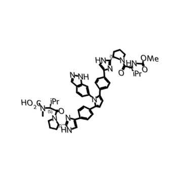 COC(=O)N[C@H](C(=O)N1CCC[C@H]1c1nc(-c2ccc(-c3ccc(-c4ccc(-c5c[nH]c([C@@H]6CCCN6C(=O)[C@H](C(C)C)N(C)C(=O)O)n5)cc4)n3-c3ccc4cn[nH]c4c3)cc2)c[nH]1)C(C)C